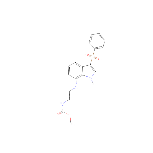 Cn1cc(S(=O)(=O)c2ccccc2)c2cccc(NCCNC(=O)OC(C)(C)C)c21